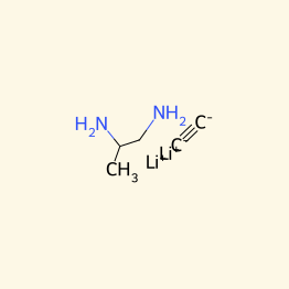 CC(N)CN.[C-]#[C-].[Li+].[Li+]